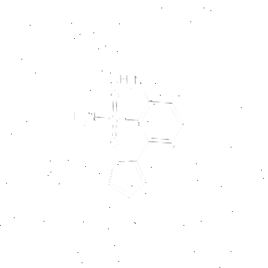 Nc1cccc(-c2cccs2)c1S(N)(=O)=O